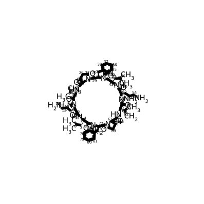 CC(C)C[C@@H]1NC(=O)[C@H](CCCN)N(N)C(=O)[C@H](C(C)C)NC(=O)[C@@H]2CCCN2C(=O)[C@@H](Cc2ccccc2)N(N)C(=O)[C@H](CC(C)C)NC(=O)[C@H](CCCN)N(N)C(=O)[C@H](C(C)C)NC(=O)[C@@H]2CCCN2C(=O)[C@@H](Cc2ccccc2)N(N)C1=O